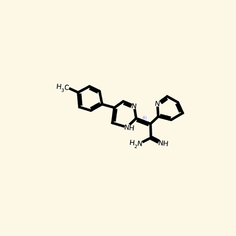 Cc1ccc(C2=CN/C(=C(\C(=N)N)c3ccccn3)N=C2)cc1